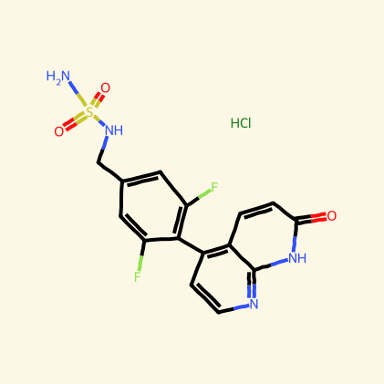 Cl.NS(=O)(=O)NCc1cc(F)c(-c2ccnc3[nH]c(=O)ccc23)c(F)c1